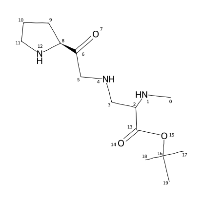 CNC(CNCC(=O)[C@@H]1CCCN1)C(=O)OC(C)(C)C